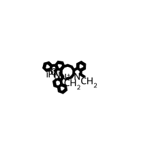 C=CC1=NC2CC(=C)[n+]3c(n(C(C)C)c4ccc5ccccc5c43)-c3c(ccc4c3oc3ccccc34)CCC2c2ccccc21